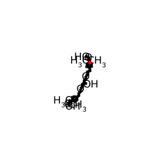 CC(C)(OO)c1ccc(CCCOCCC(O)CCOCCCc2ccc(C(C)(C)OO)cc2)cc1